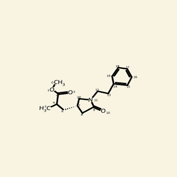 COC(=O)C(C)C[C@H]1CC(=O)N(CCc2ccccc2)C1